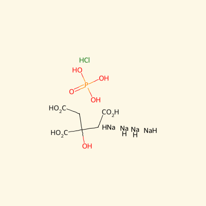 Cl.O=C(O)CC(O)(CC(=O)O)C(=O)O.O=P(O)(O)O.[NaH].[NaH].[NaH].[NaH]